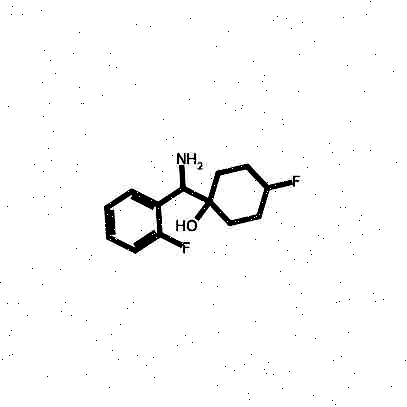 NC(c1ccccc1F)C1(O)CCC(F)CC1